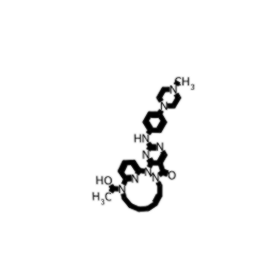 CC(O)N1CCCC/C=C\Cn2c(=O)c3cnc(Nc4ccc(N5CCN(C)CC5)cc4)nc3n2-c2cccc1n2